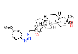 COC[C@]12CC[C@](O)(C(F)(F)F)C[C@H]1CC[C@H]1[C@@H]3CC[C@H](C(=O)Cn4nnc5ccc(OC)cc54)[C@@]3(C)CC[C@@H]12